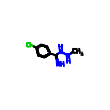 CNNC(=N)c1ccc(Cl)cc1